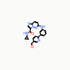 O=Cc1ccc(-c2cccc(Nc3ccc4ncc(C(=O)NC5CC5)n4n3)c2)nc1